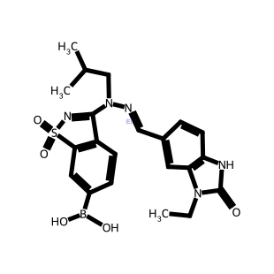 CCn1c(=O)[nH]c2ccc(/C=N/N(CC(C)C)C3=NS(=O)(=O)c4cc(B(O)O)ccc43)cc21